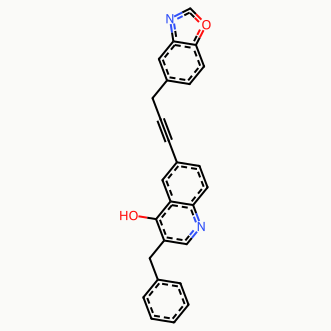 Oc1c(Cc2ccccc2)cnc2ccc(C#CCc3ccc4ocnc4c3)cc12